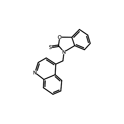 S=c1oc2ccccc2n1Cc1ccnc2ccccc12